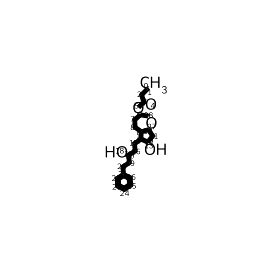 CCCC(=O)OC1CCC2C(CC(O)C2CC[C@@H](O)CCc2ccccc2)OC1